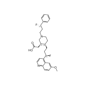 COc1ccc2nccc([C@H](F)CC[C@@H]3CCN(CC[C@H](F)c4ccccc4)C[C@@H]3CC(=O)O)c2c1